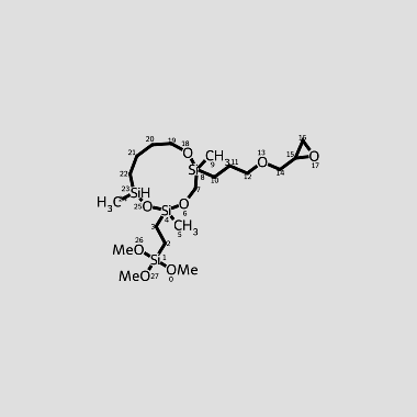 CO[Si](CC[Si]1(C)OC[Si](C)(CCCOCC2CO2)OCCCC[SiH](C)O1)(OC)OC